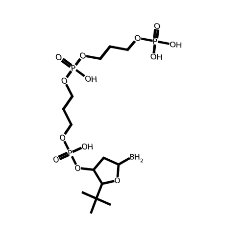 BC1CC(OP(=O)(O)OCCCOP(=O)(O)OCCCOP(=O)(O)O)C(C(C)(C)C)O1